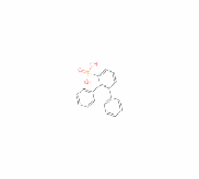 O=P(O)(O)c1cc[c]c(-c2ccccc2)c1-c1ccccc1